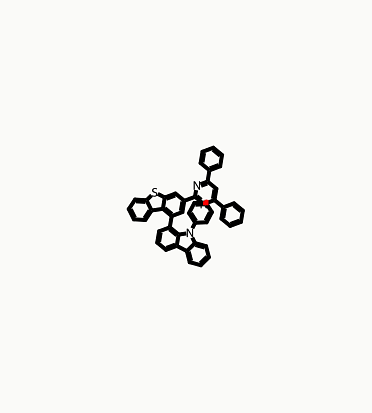 c1ccc(-c2cc(-c3ccccc3)nc(-c3cc(-c4cccc5c6ccccc6n(-c6ccccc6)c45)c4c(c3)sc3ccccc34)n2)cc1